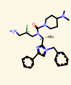 CN(C)C1CCN(C(=O)N(C[C@H](F)CN)[C@@H](c2nc(-c3ccccc3)cn2Cc2ccccc2)C(C)(C)C)CC1